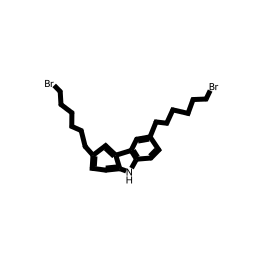 BrCCCCCCc1ccc2[nH]c3ccc(CCCCCCBr)cc3c2c1